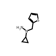 NN(Cc1cccs1)C1CC1